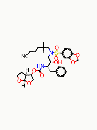 CC(C)(CCCC#N)CN(C[C@@H](O)[C@H](Cc1ccccc1)NC(=O)O[C@H]1CO[C@H]2OCC[C@H]21)S(=O)(=O)c1ccc2c(c1)OCO2